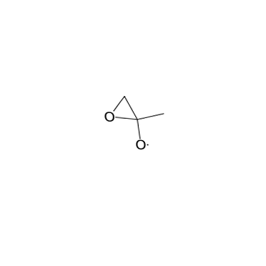 CC1([O])CO1